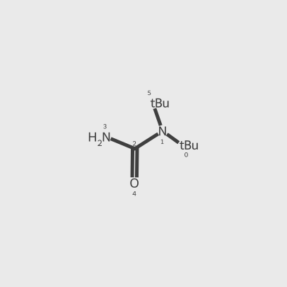 CC(C)(C)N(C(N)=O)C(C)(C)C